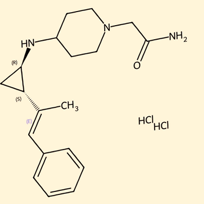 C/C(=C\c1ccccc1)[C@@H]1C[C@H]1NC1CCN(CC(N)=O)CC1.Cl.Cl